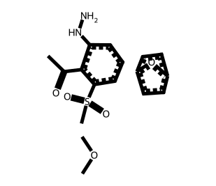 CC(=O)c1c(NN)cccc1S(C)(=O)=O.COC.c1cc2ccc1o2